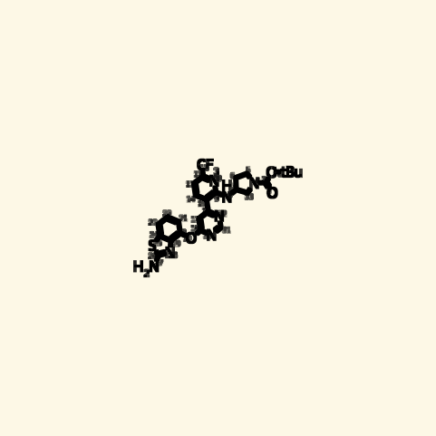 CC(C)(C)OC(=O)N1CCC(Nc2nc(C(F)(F)F)ccc2-c2cc(Oc3cccc4sc(N)nc34)ncn2)C1